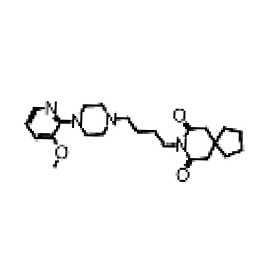 COc1cccnc1N1CCN(CCCCN2C(=O)CC3(CCCC3)CC2=O)CC1